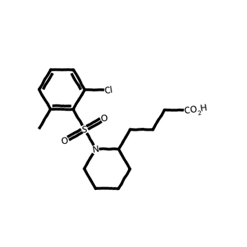 Cc1cccc(Cl)c1S(=O)(=O)N1CCCCC1CCCC(=O)O